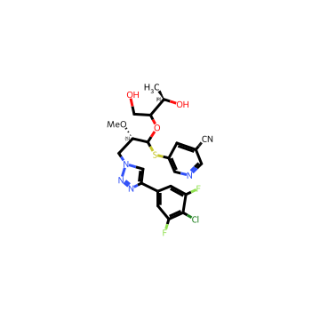 CO[C@@H](Cn1cc(-c2cc(F)c(Cl)c(F)c2)nn1)C(OC(CO)[C@@H](C)O)Sc1cncc(C#N)c1